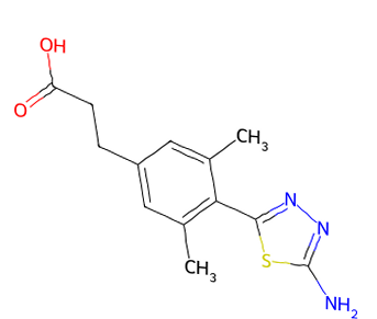 Cc1cc(CCC(=O)O)cc(C)c1-c1nnc(N)s1